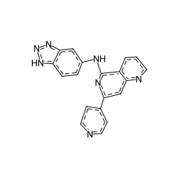 c1cnc2cc(-c3ccncc3)nc(Nc3ccc4[nH]nnc4c3)c2c1